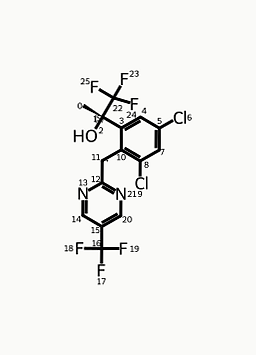 C[C@](O)(c1cc(Cl)cc(Cl)c1[CH]c1ncc(C(F)(F)F)cn1)C(F)(F)F